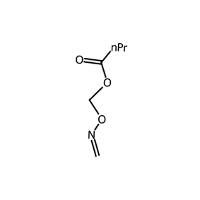 C=NOCOC(=O)CCC